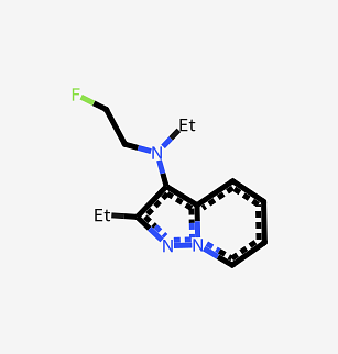 CCc1nn2ccccc2c1N(CC)CCF